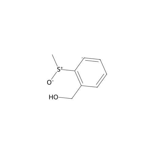 C[S+]([O-])c1[c]cccc1CO